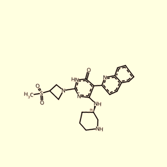 CS(=O)(=O)C1CN(c2nc(N[C@@H]3CCCNC3)c(-c3ccc4ccccc4n3)c(=O)[nH]2)C1